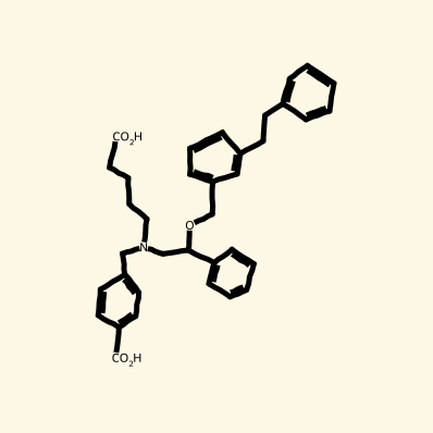 O=C(O)CCCCN(Cc1ccc(C(=O)O)cc1)CC(OCc1cccc(CCc2ccccc2)c1)c1ccccc1